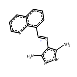 Nc1n[nH]c(N)c1/N=N/c1cccc2cccnc12